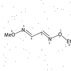 CCO/N=C/C=N/OC